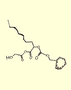 CCCCCCCC(OC(=O)OCc1ccccc1)C(=O)OC(=O)CO